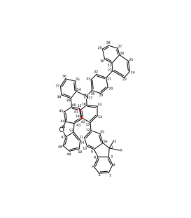 CC1(C)c2ccccc2-c2ccc(-c3ccc(N(c4ccc(-c5cccc6ccccc56)cc4)c4ccccc4-c4ccc5c(c4)oc4ccccc45)cc3)cc21